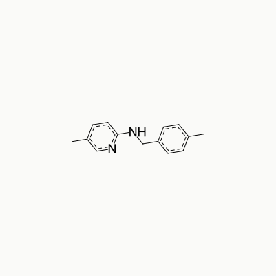 Cc1ccc(CNc2ccc(C)cn2)cc1